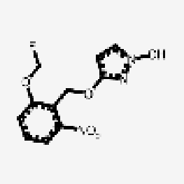 O=[N+]([O-])c1cccc(OCF)c1COc1ccn(O)n1